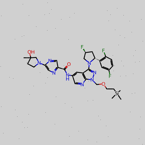 CC1(O)CCN(c2cnc(C(=O)Nc3cnc4c(c3)c(N3C[C@@H](F)C[C@@H]3c3cc(F)ccc3F)nn4COCC[Si](C)(C)C)cn2)C1